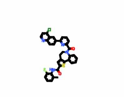 Cc1cccc(F)c1NC(=O)c1cc2c(s1)-c1ccccc1N(C(=O)c1cccc(-c3ccc4nccc(Cl)c4c3)n1)CC2